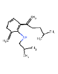 C=C(CCC(C)C)C1=C(NCC(C)C)C(=C)CC=C1